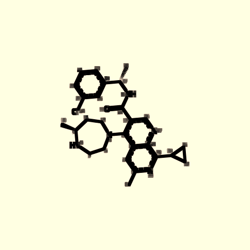 Cc1cc2c(N3CCN[C@@H](C)CC3)c(C(=O)N[C@@H](C)c3cccc(Cl)c3)cnc2c(C2CC2)n1